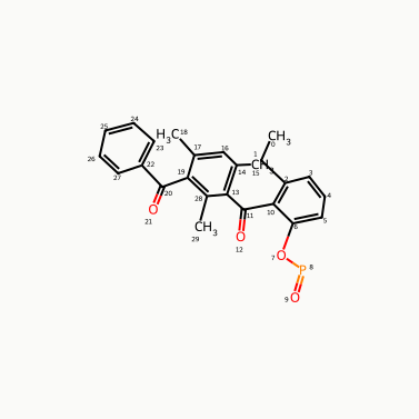 CCc1cccc(OP=O)c1C(=O)c1c(C)cc(C)c(C(=O)c2ccccc2)c1C